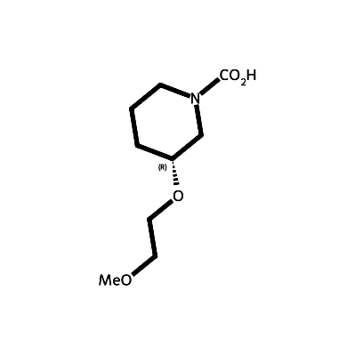 COCCO[C@@H]1CCCN(C(=O)O)C1